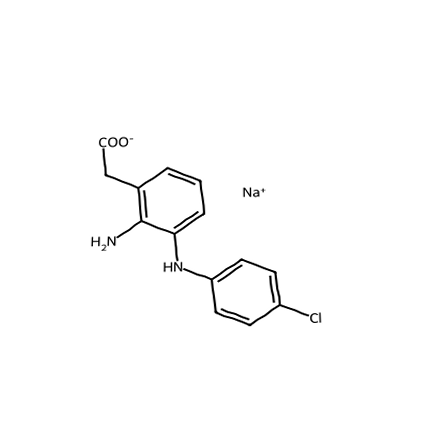 Nc1c(CC(=O)[O-])cccc1Nc1ccc(Cl)cc1.[Na+]